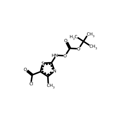 Cc1nc(NOC(=O)OC(C)(C)C)sc1C(=O)Cl